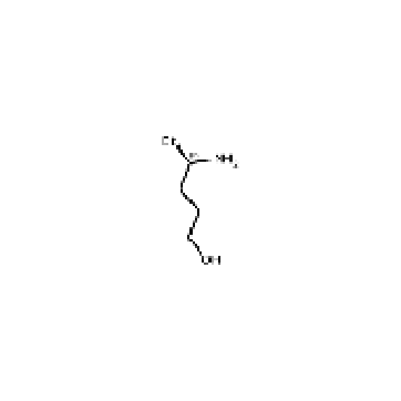 CC[C@@H](N)CCCO